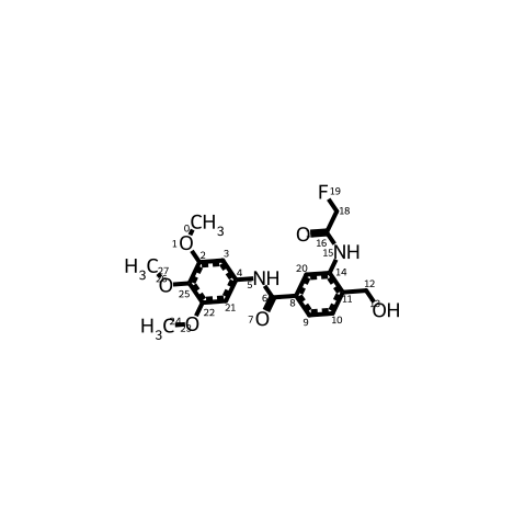 COc1cc(NC(=O)c2ccc(CO)c(NC(=O)CF)c2)cc(OC)c1OC